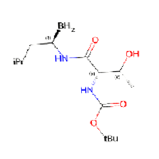 B[C@H](CC(C)C)NC(=O)[C@@H](NC(=O)OC(C)(C)C)[C@@H](C)O